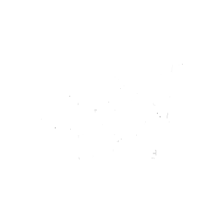 N[C@@H](CC1(C(=O)OCC2c3ccccc3-c3ccccc32)C=CC(F)=CC1)C(=O)O